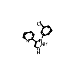 Clc1cccc(N2NNC=C2c2ccccn2)c1